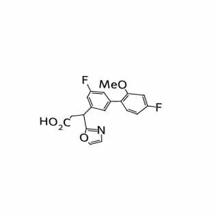 COc1cc(F)ccc1-c1cc(F)cc(C(CC(=O)O)c2ncco2)c1